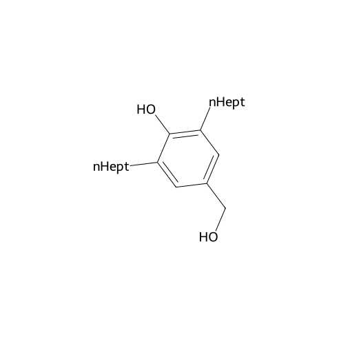 CCCCCCCc1cc(CO)cc(CCCCCCC)c1O